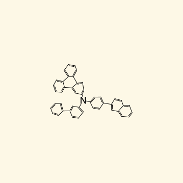 c1ccc(-c2cccc(N(c3ccc(-c4ccc5ccccc5c4)cc3)c3ccc4c5ccccc5c5ccccc5c4c3)c2)cc1